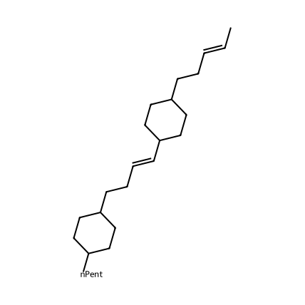 C/C=C/CCC1CCC(C=CCCC2CCC(CCCCC)CC2)CC1